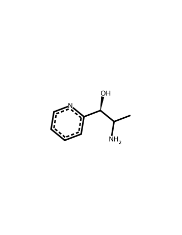 CC(N)[C@H](O)c1ccccn1